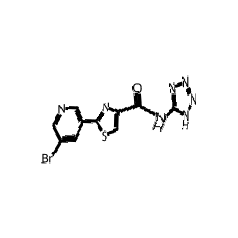 O=C(Nc1nnn[nH]1)c1csc(-c2cncc(Br)c2)n1